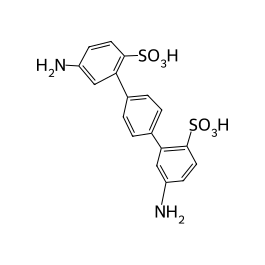 Nc1ccc(S(=O)(=O)O)c(-c2ccc(-c3cc(N)ccc3S(=O)(=O)O)cc2)c1